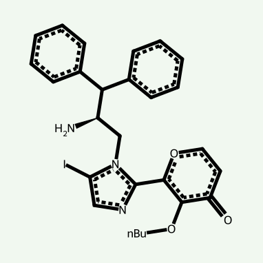 CCCCOc1c(-c2ncc(I)n2C[C@@H](N)C(c2ccccc2)c2ccccc2)occc1=O